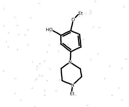 CCOc1ccc(N2CCN(CC)CC2)cc1O